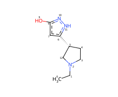 CCN1CC[C@@H](c2cc(O)n[nH]2)C1